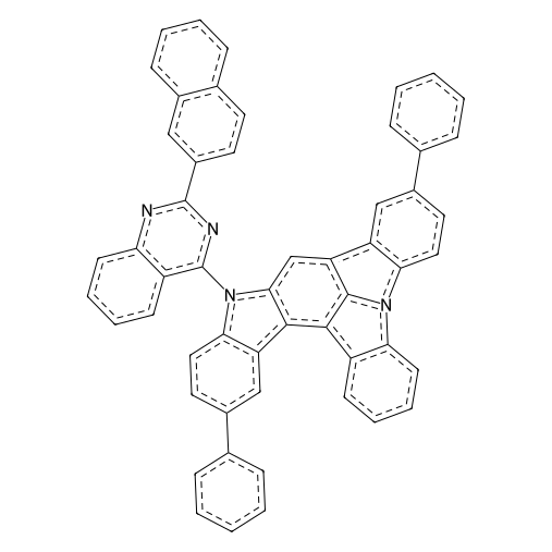 c1ccc(-c2ccc3c(c2)c2c4c5ccccc5n5c6ccc(-c7ccccc7)cc6c(cc2n3-c2nc(-c3ccc6ccccc6c3)nc3ccccc23)c45)cc1